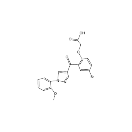 COc1ccccc1-n1cc(C(=O)c2cc(Br)ccc2OCC(=O)O)cn1